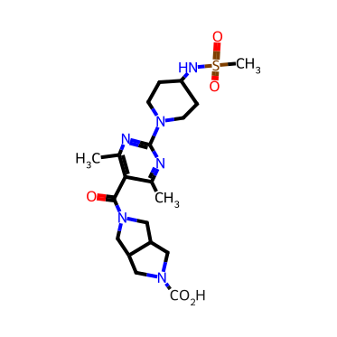 Cc1nc(N2CCC(NS(C)(=O)=O)CC2)nc(C)c1C(=O)N1CC2CN(C(=O)O)CC2C1